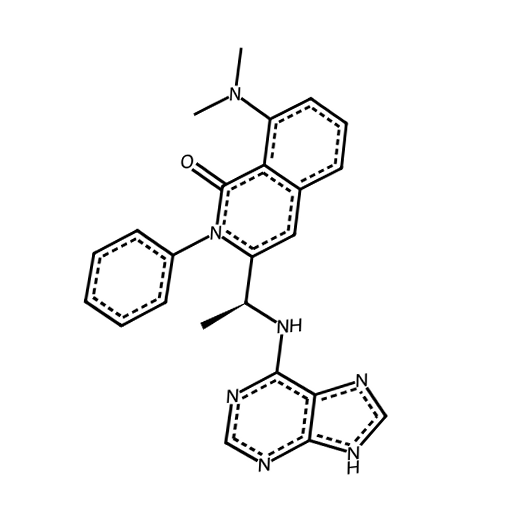 C[C@H](Nc1ncnc2[nH]cnc12)c1cc2cccc(N(C)C)c2c(=O)n1-c1ccccc1